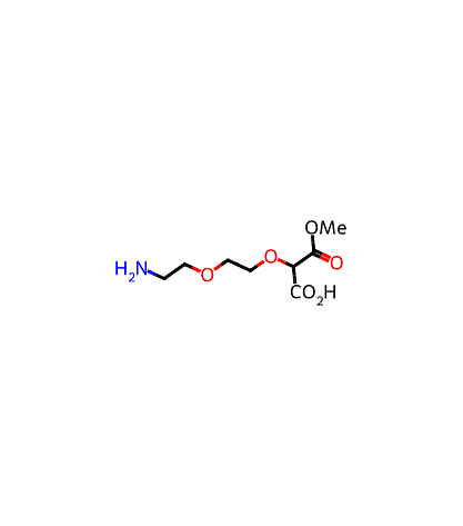 COC(=O)C(OCCOCCN)C(=O)O